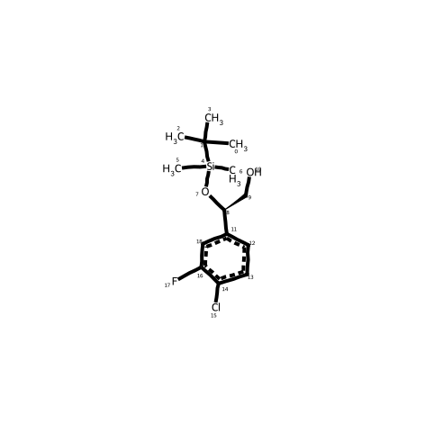 CC(C)(C)[Si](C)(C)O[C@@H](CO)c1ccc(Cl)c(F)c1